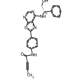 CC#CC(=O)Nc1ccc(-c2nc3c(N[C@H](CO)c4ccccc4)ncnc3o2)cc1